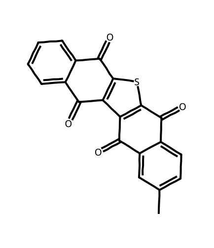 Cc1ccc2c(=O)c3sc4c(=O)c5ccccc5c(=O)c4c3c(=O)c2c1